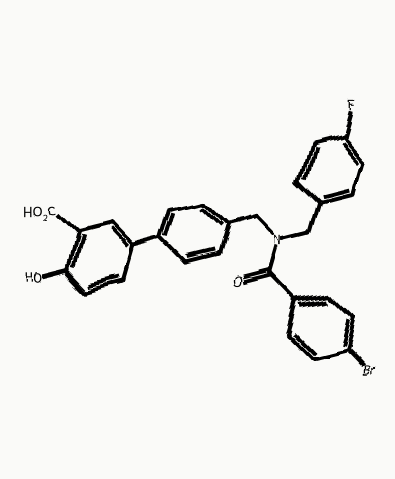 O=C(O)c1cc(-c2ccc(CN(Cc3ccc(F)cc3)C(=O)c3ccc(Br)cc3)cc2)ccc1O